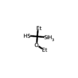 CCOC([SiH3])(S)CC